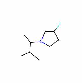 CC(C)C(C)N1CCC(F)C1